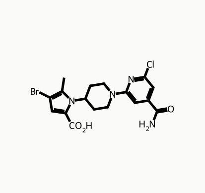 Cc1c(Br)cc(C(=O)O)n1C1CCN(c2cc(C(N)=O)cc(Cl)n2)CC1